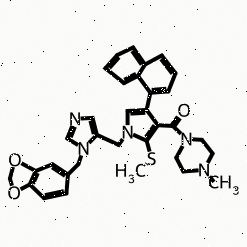 CSc1c(C(=O)N2CCN(C)CC2)c(-c2cccc3ccccc23)cn1Cc1cncn1Cc1ccc2c(c1)OCO2